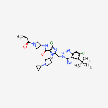 C=CC(=O)N1CC(NC(=O)c2c(Cl)nc(CNC(=N)c3cc(C(C)(C)C)c(Cl)cc3N)n2[C@@H]2CCN(C3CC3)C2)C1